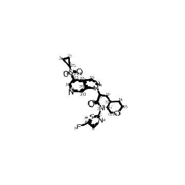 O=C(Nc1ncc(F)s1)C(CC1CCOCC1)n1ncc2c(S(=O)(=O)C3CC3)cncc21